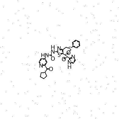 O=C(Nc1ccnc(C(=O)C2CCCC2)c1)Nc1nc(CSc2ccccc2)c(S(=O)(=O)c2ncc[nH]2)s1